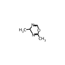 CC1=NC(C)N=CO1